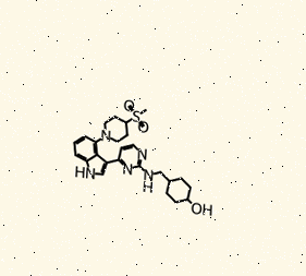 CS(=O)(=O)C1CCN(c2cccc3[nH]cc(-c4ccnc(NCC5CCC(O)CC5)n4)c23)CC1